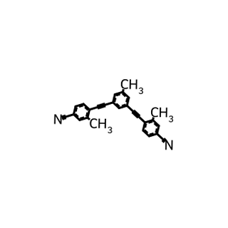 Cc1cc(C#Cc2ccc(C#N)cc2C)cc(C#Cc2ccc(C#N)cc2C)c1